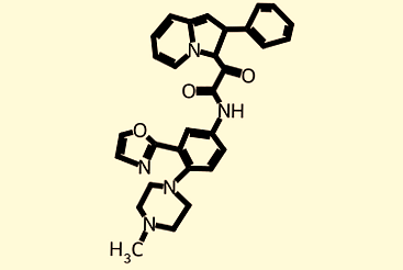 CN1CCN(c2ccc(NC(=O)C(=O)C3C(c4ccccc4)C=C4C=CC=CN43)cc2-c2ncco2)CC1